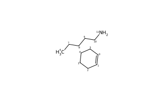 C1=CCCCC1.CCCCCN